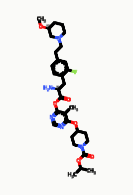 CO[C@H]1CCCN(CCc2ccc(C[C@H](N)C(=O)Oc3ncnc(OC4CCN(C(=O)OC(C)C)CC4)c3C)c(F)c2)C1